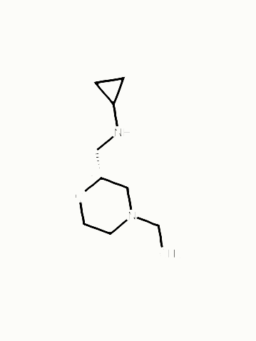 CCN1CCO[C@H](CNC2CC2)C1